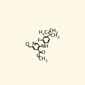 COC(=O)c1cc(C=O)ncc1Nc1ccc(S(C)(C)C)cc1F